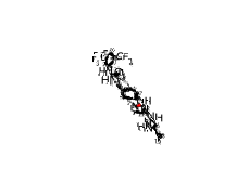 O=C(Nc1ccc(Nc2nccc(Nc3cc(C4CC4)[nH]n3)n2)cc1)Nc1cc(C(F)(F)F)cc(C(F)(F)F)c1